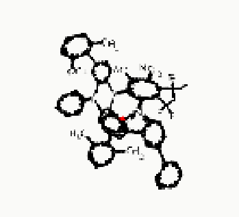 Cc1cccc(C)c1-c1ccc2c(c1)N(c1ccccc1)c1cc(-c3c(C)cccc3C)ccc1N2c1c(C#N)c([N+](=O)[O-])c2c(c1-n1c3ccccc3c3cc(-c4ccccc4)ccc31)C(F)(F)CC2(F)F